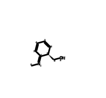 C/N=C1\C=CC=C[C@@H]1CO